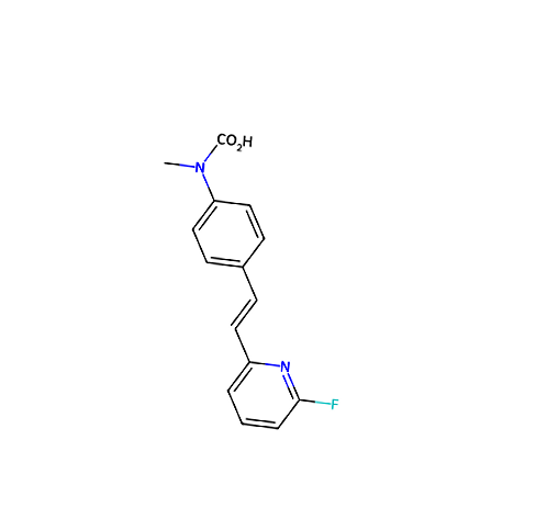 CN(C(=O)O)c1ccc(/C=C/c2cccc(F)n2)cc1